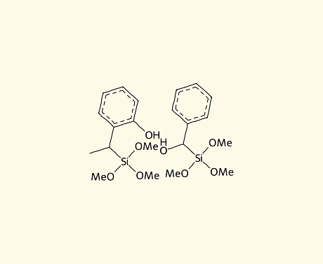 CO[Si](OC)(OC)C(C)c1ccccc1O.CO[Si](OC)(OC)C(O)c1ccccc1